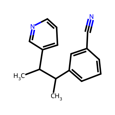 CC(c1cccnc1)C(C)c1cccc(C#N)c1